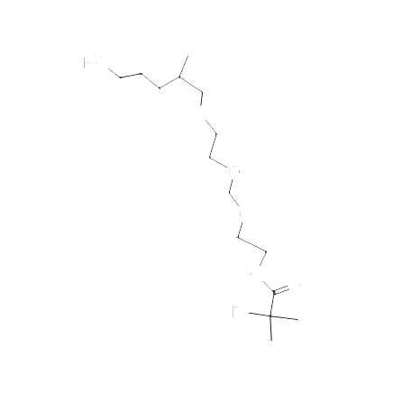 CCC(C)(C)C(=O)OCCOCOCCSCC(C)CCCO